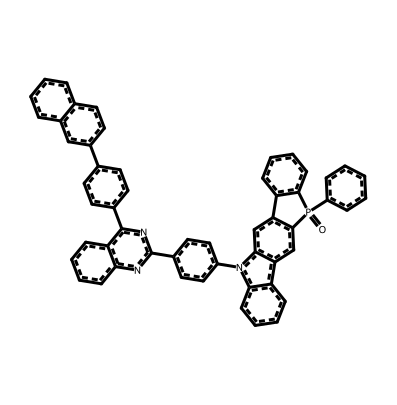 O=P1(c2ccccc2)c2ccccc2-c2cc3c(cc21)c1ccccc1n3-c1ccc(-c2nc(-c3ccc(-c4ccc5ccccc5c4)cc3)c3ccccc3n2)cc1